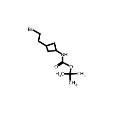 CC(C)(C)OC(=O)NC1CC(CCBr)C1